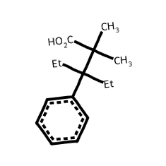 CCC(CC)(c1ccccc1)C(C)(C)C(=O)O